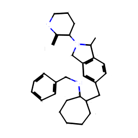 C=C1NCCCC1N1Cc2cc(CC3CCCCCC3NCc3ccccc3)ccc2C1C